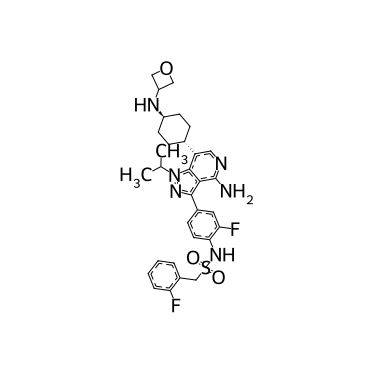 CC(C)n1nc(-c2ccc(NS(=O)(=O)Cc3ccccc3F)c(F)c2)c2c(N)ncc([C@H]3CC[C@H](NC4COC4)CC3)c21